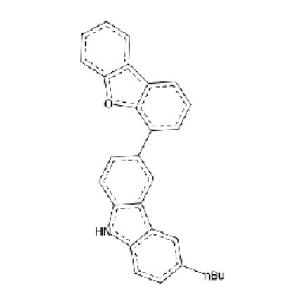 CCCCc1ccc2[nH]c3ccc(-c4cccc5c4oc4ccccc45)cc3c2c1